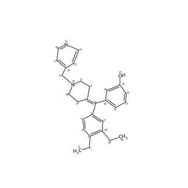 CCc1ccc(C(=C2CCN(Cc3ccncc3)CC2)c2cccc(O)c2)cc1CC